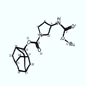 CC(C)(C)OC(=O)NC1CCN(C(=O)OC2C3CC4CC(C3)CC2C4)C1